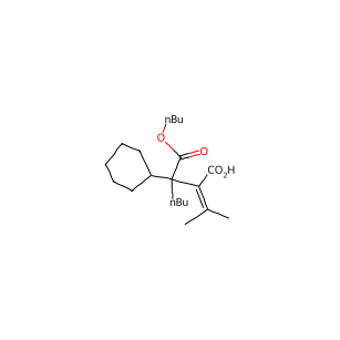 CCCCOC(=O)C(CCCC)(C(C(=O)O)=C(C)C)C1CCCCC1